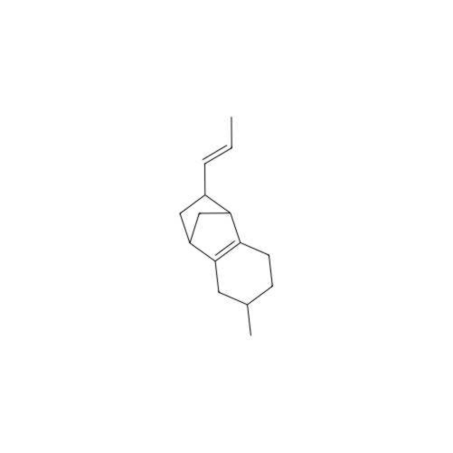 CC=CC1CC2CC1C1=C2CC(C)CC1